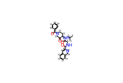 CC(C)C[C@H](NC(=O)c1cc2ccccc2cn1)C(=O)NC1CCN(C(=O)c2ccccc2)CC1=O